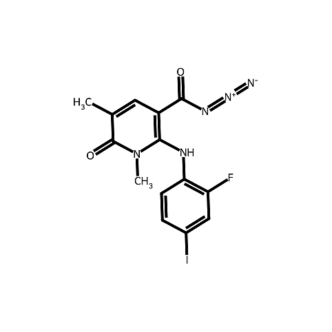 Cc1cc(C(=O)N=[N+]=[N-])c(Nc2ccc(I)cc2F)n(C)c1=O